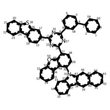 c1ccc(-c2cccc(-c3nc(-c4ccc5c(c4)sc4ccccc45)nc(-c4ccc(-n5c6ccccc6c6cc7ccccc7cc65)c5c4oc4ccccc45)n3)c2)cc1